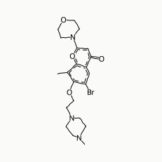 Cc1c(OCCN2CCN(C)CC2)c(Br)cc2c(=O)cc(N3CCOCC3)oc12